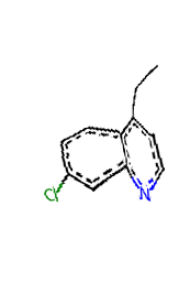 CCc1ccnc2cc(Cl)ccc12